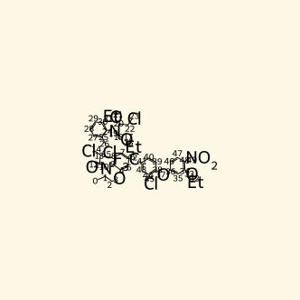 CC1COc2ccccc2N1C(=O)C(Cl)Cl.CCOCN(C(=O)CCl)c1c(C)cccc1CC.CCOc1cc(Oc2ccc(C(F)(F)F)cc2Cl)ccc1[N+](=O)[O-]